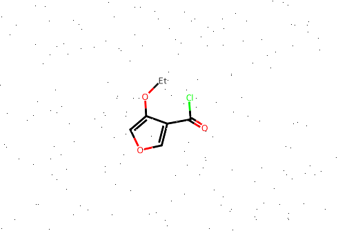 CCOc1cocc1C(=O)Cl